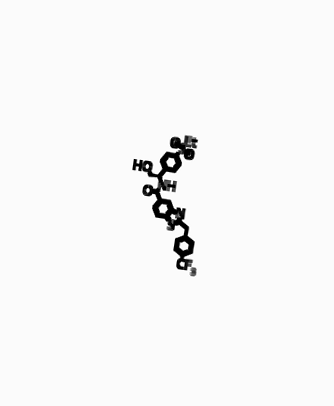 CCS(=O)(=O)c1ccc([C@H](CO)NC(=O)c2ccc3sc(Cc4ccc(C(F)(F)F)cc4)nc3c2)cc1